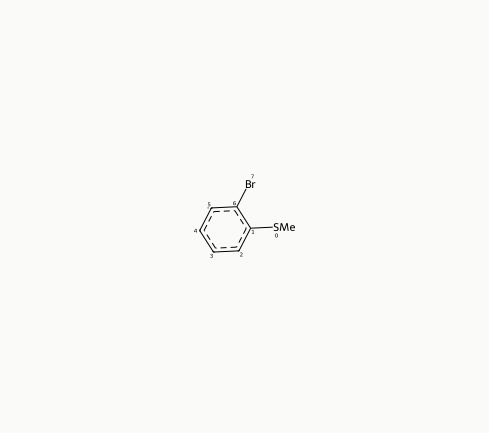 CSc1ccc[c]c1Br